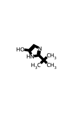 CC(C)(C)c1ncc(O)[nH]1